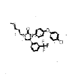 CSCCCN1C[C@H](c2cccc(C(F)(F)F)c2)N(c2ccc(Oc3ccc(Cl)cc3)cc2)C1=O